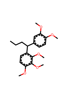 CCCC(c1ccc(OC)c(OC)c1)c1ccc(OC)c(OC)c1OC